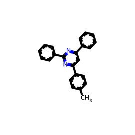 Cc1ccc(-c2cc(-c3ccccc3)nc(-c3ccccc3)n2)cc1